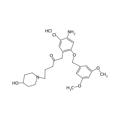 COc1cc(COc2cc(N)c(Cl)cc2CC(=O)CCCN2CCC(O)CC2)cc(OC)c1.Cl